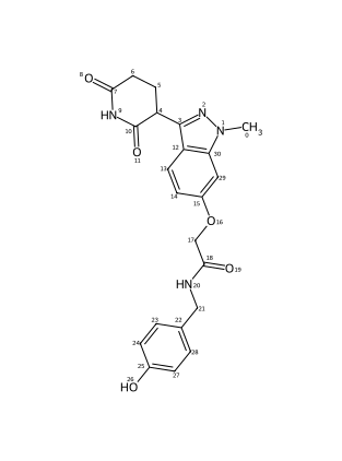 Cn1nc(C2CCC(=O)NC2=O)c2ccc(OCC(=O)NCc3ccc(O)cc3)cc21